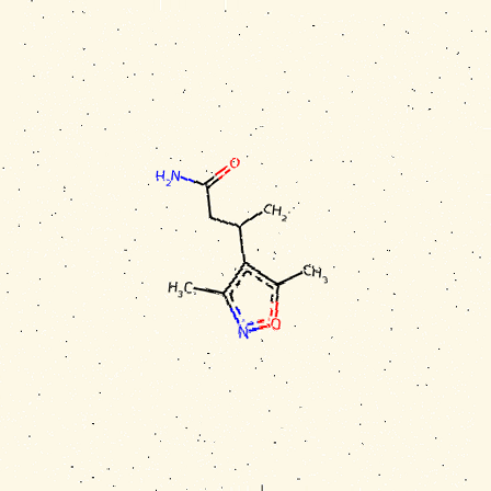 [CH2]C(CC(N)=O)c1c(C)noc1C